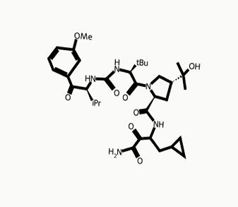 COc1cccc(C(=O)[C@@H](NC(=O)N[C@H](C(=O)N2C[C@H](C(C)(C)O)C[C@H]2C(=O)NC(CC2CC2)C(=O)C(N)=O)C(C)(C)C)C(C)C)c1